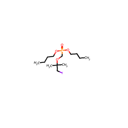 CCCCOP(=O)(COC(C)(C)CI)OCCCC